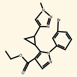 CCOC(=O)c1cnn(-c2cccc(Br)c2)c1C1CC1c1cn(C)nn1